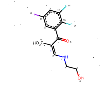 O=C(O)/C(=C/NCCO)C(=O)c1cc(I)cc(F)c1F